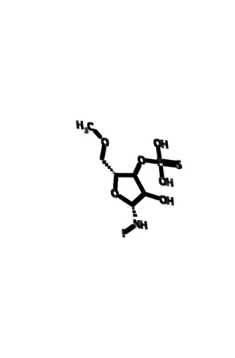 COC[C@H]1O[C@@H](NI)C(O)C1OP(O)(O)=S